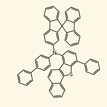 c1ccc(-c2ccc(N(c3ccc4c(c3)C3(c5ccccc5-c5ccccc53)c3ccccc3-4)c3ccc(-c4ccccc4)c4sc5c6ccccc6ccc5c34)cc2)cc1